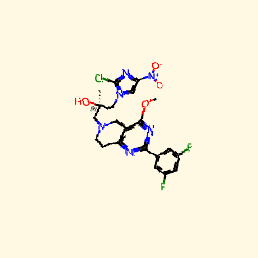 COc1nc(-c2cc(F)cc(F)c2)nc2c1CN(C[C@@](C)(O)Cn1cc([N+](=O)[O-])nc1Cl)CC2